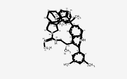 Cc1cc(C)cc(-c2[nH]c3ccc(C(C)(C)C(=O)N4CC5CCC4CC5)cc3c2[C@H](C)CN/C(=N\C(=O)O)N2CCC(c3ccncc3)C2)c1